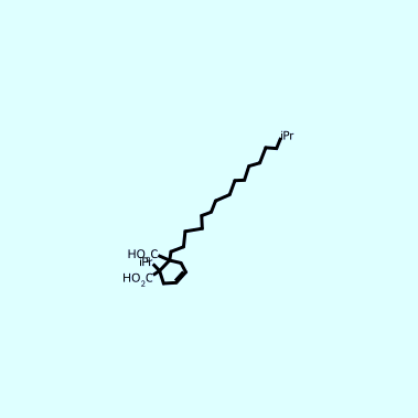 CC(C)CCCCCCCCCCCCCCC1(C(=O)O)CC=CCC1(C(=O)O)C(C)C